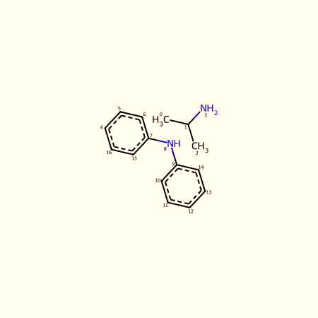 CC(C)N.c1ccc(Nc2ccccc2)cc1